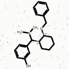 CN(C)C(c1cccc(O)c1)[C@@H]1CCCC[C@@H]1OCc1ccccc1